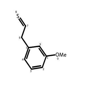 COc1cccc(CC=S)c1